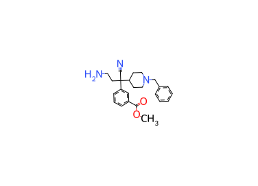 COC(=O)c1cccc(C(C#N)(CCN)C2CCN(Cc3ccccc3)CC2)c1